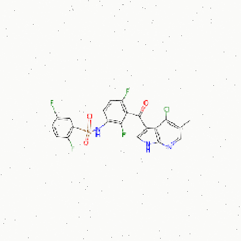 Cc1cnc2[nH]cc(C(=O)c3c(F)ccc(NS(=O)(=O)c4cc(F)ccc4F)c3F)c2c1Cl